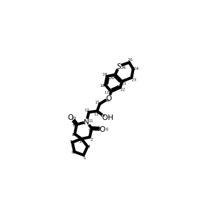 O=C1CC2(CCCC2)CC(=O)N1CC(O)COc1ccc2c(c1)CCCS2